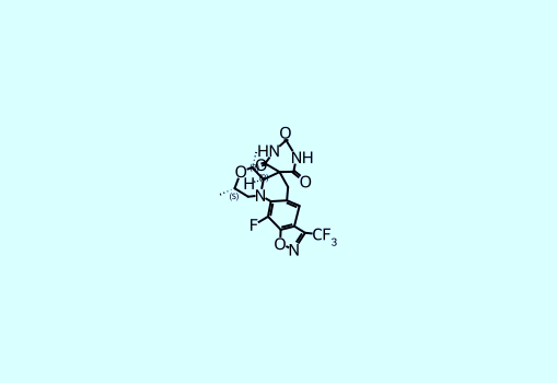 C[C@H]1CN2c3c(cc4c(C(F)(F)F)noc4c3F)CC3(C(=O)NC(=O)NC3=O)[C@@H]2[C@@H](C)O1